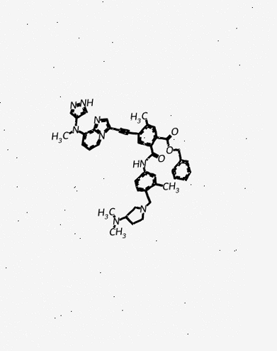 Cc1cc(C(=O)OCc2ccccc2)c(C(=O)Nc2ccc(CN3CCC(N(C)C)C3)c(C)c2)cc1C#Cc1cnc2c(N(C)c3cn[nH]c3)cccn12